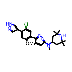 COc1cc(-c2cn[nH]c2)c(Cl)cc1-c1ccc(N(C)C2CC(C)(C)NC(C)(C)C2)nn1